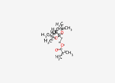 C=C(C)C(=O)OCC[Si](C)(O[Si](C)(C)C)O[Si](C)(C)C